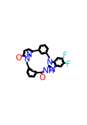 O=C1Nc2nc3cc(F)c(F)cc3n2Cc2cccc(c2)-c2ccc(=O)n(n2)Cc2cccc1c2